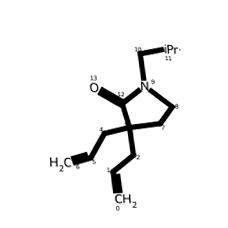 C=CCC1(CC=C)CCN(C[C](C)C)C1=O